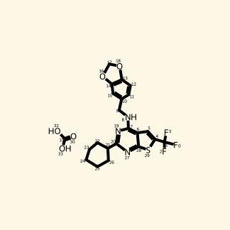 FC(F)(F)c1cc2c(NCc3ccc4c(c3)OCO4)nc(C3CCCCC3)nc2s1.O=C(O)O